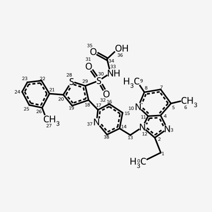 CCc1nc2c(C)cc(C)nc2n1Cc1ccc(-c2cc(-c3ccccc3C)sc2S(=O)(=O)NC(=O)O)nc1